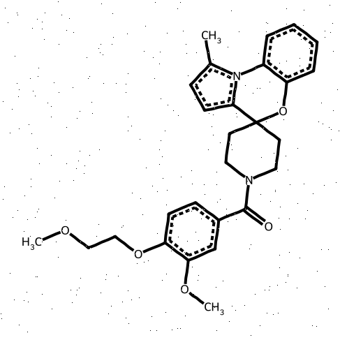 COCCOc1ccc(C(=O)N2CCC3(CC2)Oc2ccccc2-n2c(C)ccc23)cc1OC